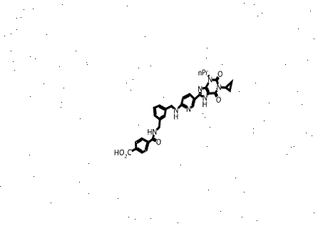 CCCn1c(=O)n(C2CC2)c(=O)c2[nH]c(-c3ccc(NCc4cccc(CNC(=O)c5ccc(C(=O)O)cc5)c4)nc3)nc21